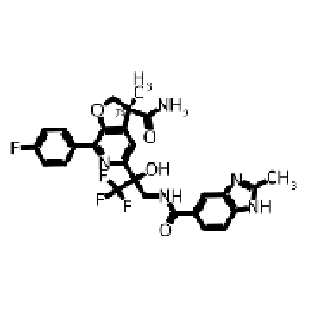 Cc1nc2cc(C(=O)NCC(O)(c3cc4c(c(-c5ccc(F)cc5)n3)OC[C@]4(C)C(N)=O)C(F)(F)F)ccc2[nH]1